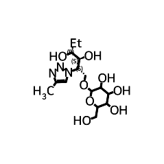 CC[C@@H](O)[C@@H](O)[C@H](COC1OC(CO)C(O)C(O)C1O)n1cc(C)nn1